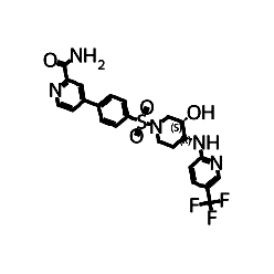 NC(=O)c1cc(-c2ccc(S(=O)(=O)N3CC[C@@H](Nc4ccc(C(F)(F)F)cn4)[C@@H](O)C3)cc2)ccn1